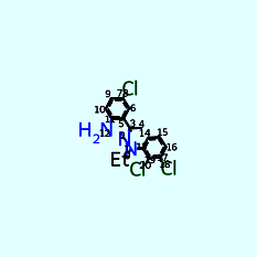 CCN(/N=C(\C)c1cc(Cl)ccc1N)c1cccc(Cl)c1Cl